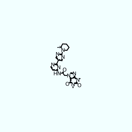 C[C@H]1CCCCN1c1ncc(-c2nccc(NC(=O)Cn3cnc4c3c(=O)n(C)c(=O)n4C)n2)cn1